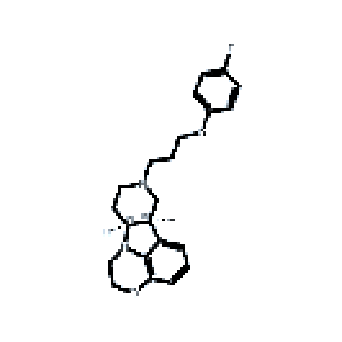 Fc1ccc(OCCCN2CC[C@H]3[C@@H](C2)c2cccc4c2N3CCO4)cc1